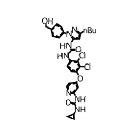 CCCCc1cc(NC(=O)Nc2ccc(Oc3ccnc(NC(=O)NC4CC4)c3)c(Cl)c2Cl)n(-c2ccc(CO)cc2)n1